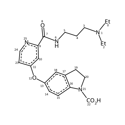 CCN(CC)CCCNC(=O)c1cc(Oc2ccc3c(c2)CCN3C(=O)O)ccn1